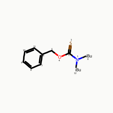 CCC(C)N(C(=S)OCc1ccccc1)C(C)CC